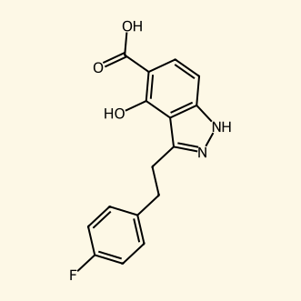 O=C(O)c1ccc2[nH]nc(CCc3ccc(F)cc3)c2c1O